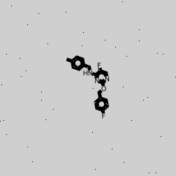 Cc1ccc(CNc2nc(OCc3ccc(F)cc3)ncc2F)cc1